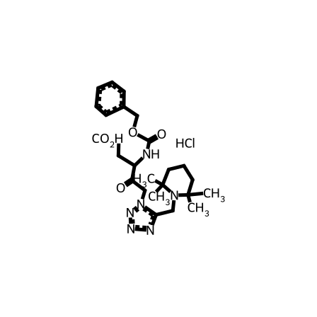 CC1(C)CCCC(C)(C)N1Cc1nnnn1CC(=O)C(CC(=O)O)NC(=O)OCc1ccccc1.Cl